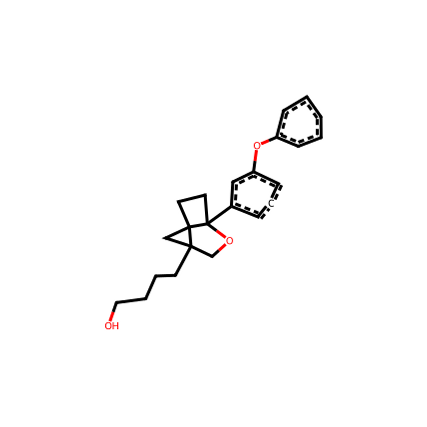 OCCCCC12COC3(c4cccc(Oc5ccccc5)c4)CCC13C2